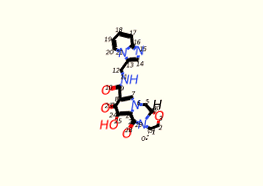 C[C@H]1CO[C@@H]2Cn3cc(C(=O)NCc4cnc5ccccn45)c(=O)c(O)c3C(=O)N12